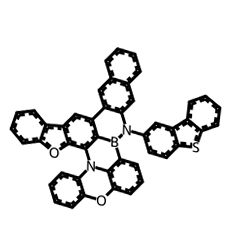 c1ccc2c(c1)Oc1cccc3c1N2c1c2c(cc4c1oc1ccccc14)-c1cc4ccccc4cc1N(c1ccc4sc5ccccc5c4c1)B32